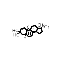 C[C@]12C=CC(O)(O)C[C@H]1CCC1=C3CC[C@H](N)[C@@]3(C)CC[C@@H]12